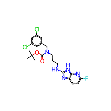 CC(C)(C)OC(=O)N(CCCNc1nc2ccc(F)nc2[nH]1)Cc1cc(Cl)cc(Cl)c1